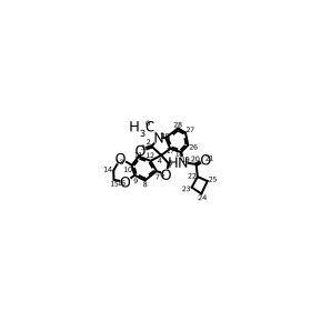 CN1C(=O)C2(COc3cc4c(cc32)OCCO4)c2c(NC(=O)C3CCC3)cccc21